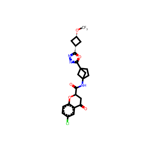 O=C1CC(C(=O)NC23CCC(c4nnc([C@H]5C[C@@H](OC(F)(F)F)C5)o4)(C2)C3)Oc2ccc(Cl)cc21